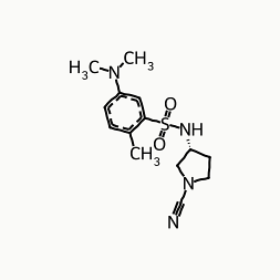 Cc1ccc(N(C)C)cc1S(=O)(=O)N[C@@H]1CCN(C#N)C1